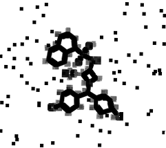 C[C@@H]1[C@@H](NS(=O)(=O)c2cccc3ccccc23)CN1C(c1ccc(Cl)cc1)c1ccc(Cl)cc1